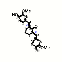 COc1nc(/C=C2\CCC/C(=C\c3cnc(O)c(OC)n3)C2=O)cnc1O